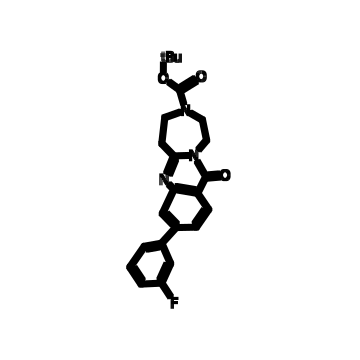 CC(C)(C)OC(=O)N1CCc2nc3cc(-c4cccc(F)c4)ccc3c(=O)n2CC1